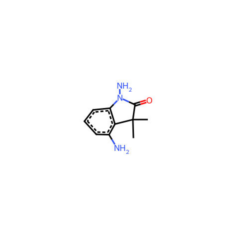 CC1(C)C(=O)N(N)c2cccc(N)c21